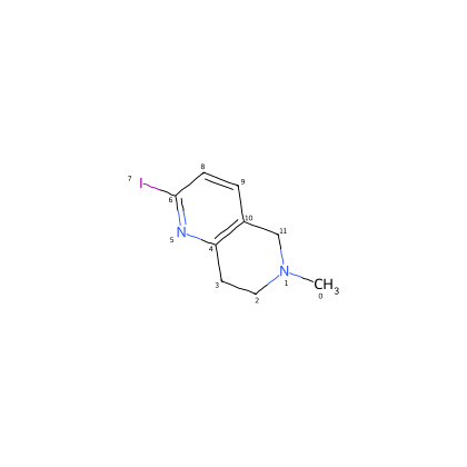 CN1CCc2nc(I)ccc2C1